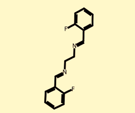 Fc1ccccc1/C=N/CC/N=C/c1ccccc1F